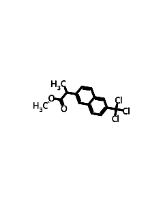 COC(=O)C(C)c1ccc2cc(C(Cl)(Cl)Cl)ccc2c1